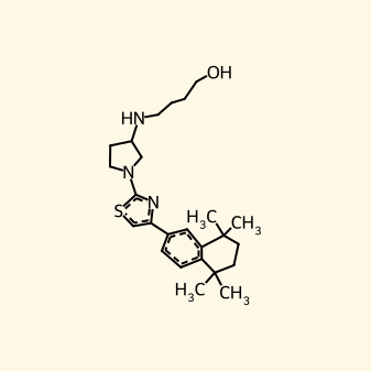 CC1(C)CCC(C)(C)c2cc(-c3csc(N4CCC(NCCCCO)C4)n3)ccc21